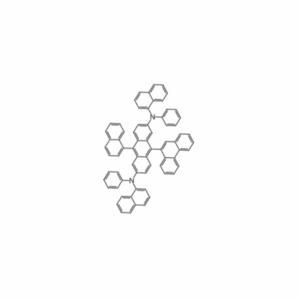 c1ccc(N(c2ccc3c(-c4cc5ccccc5c5ccccc45)c4cc(N(c5ccccc5)c5cccc6ccccc56)ccc4c(-c4cccc5ccccc45)c3c2)c2cccc3ccccc23)cc1